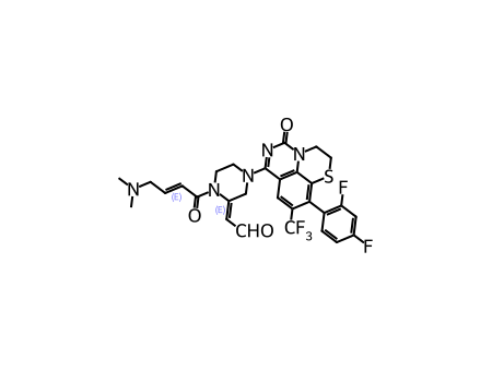 CN(C)C/C=C/C(=O)N1CCN(c2nc(=O)n3c4c(c(-c5ccc(F)cc5F)c(C(F)(F)F)cc24)SCC3)C/C1=C\C=O